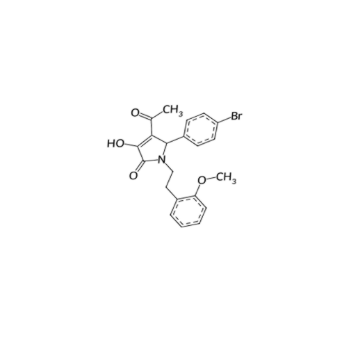 COc1ccccc1CCN1C(=O)C(O)=C(C(C)=O)C1c1ccc(Br)cc1